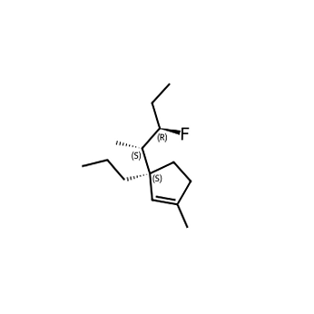 CCC[C@@]1([C@H](C)[C@H](F)CC)C=C(C)CC1